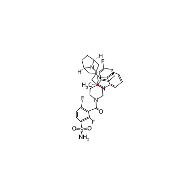 Cc1nc2ccccc2n1C1C[C@H]2CC[C@@H](C1)N2CCC1(c2cccc(F)c2)CCN(C(=O)c2c(F)ccc(S(N)(=O)=O)c2F)CC1